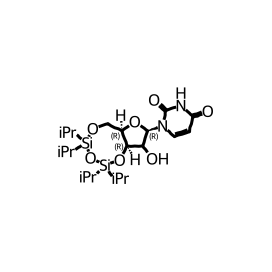 CC(C)[Si]1(C(C)C)OC[C@H]2O[C@@H](n3ccc(=O)[nH]c3=O)C(O)[C@H]2O[Si](C(C)C)(C(C)C)O1